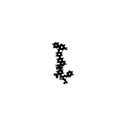 CN(C)CC[C@H](CSc1ccccc1)Nc1ccc(S(=O)(=O)Nc2ncnc3cc(C4CCN(Cc5cc(Cl)ccc5-c5ccccc5)CC4)ccc23)cc1[N+](=O)[O-]